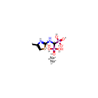 Cc1csc(NC(P(=O)([O-])[O-])P(=O)(O)O)n1.[Na+].[Na+]